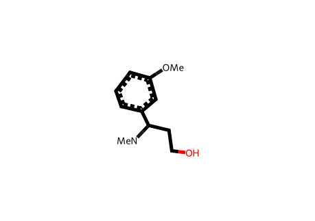 CNC(CCO)c1cccc(OC)c1